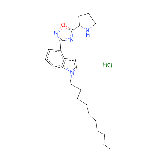 CCCCCCCCCCn1ccc2c(-c3noc(C4CCCN4)n3)cccc21.Cl